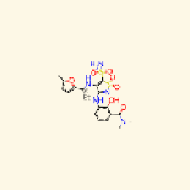 CC[C@@H](NC1=C(S(N)(=O)=O)S(=O)(=O)N=C1Nc1cccc(C(=O)N(C)C)c1O)c1ccc(C)o1